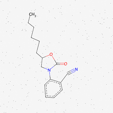 CCCCCCC1CN(c2ccccc2C#N)C(=O)O1